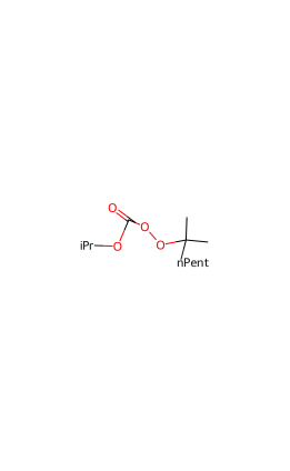 CCCCCC(C)(C)OOC(=O)OC(C)C